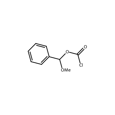 COC(OC(=O)Cl)c1ccccc1